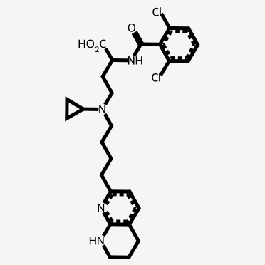 O=C(NC(CCN(CCCCc1ccc2c(n1)NCCC2)C1CC1)C(=O)O)c1c(Cl)cccc1Cl